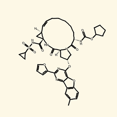 Cc1ccc2oc3c(O[C@@H]4C[C@H]5C(=O)N[C@]6(C(=O)NS(=O)(=O)C7CC7)C[C@H]6/C=C\CCCCC[C@H](NC(=O)OC6CCCC6)C(=O)N5C4)nc(-c4ccco4)nc3c2c1